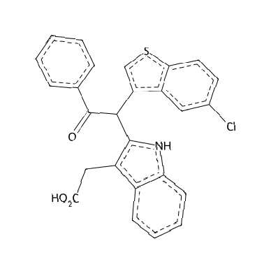 O=C(O)Cc1c(C(C(=O)c2ccccc2)c2csc3ccc(Cl)cc23)[nH]c2ccccc12